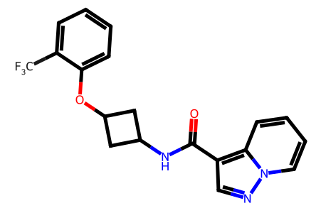 O=C(NC1CC(Oc2ccccc2C(F)(F)F)C1)c1cnn2ccccc12